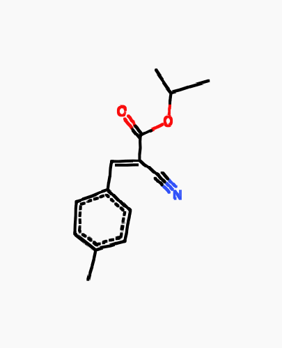 Cc1ccc(/C=C(\C#N)C(=O)OC(C)C)cc1